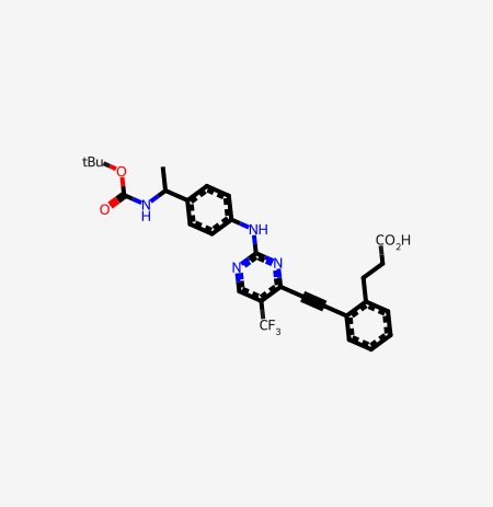 CC(NC(=O)OC(C)(C)C)c1ccc(Nc2ncc(C(F)(F)F)c(C#Cc3ccccc3CCC(=O)O)n2)cc1